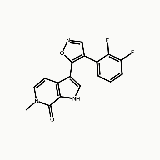 Cn1ccc2c(-c3oncc3-c3cccc(F)c3F)c[nH]c2c1=O